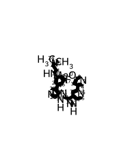 COc1cncc(-c2cc3c(-c4nc5c(-c6cc(F)cc(NCCN(C)C)c6)cncc5[nH]4)n[nH]c3cn2)c1